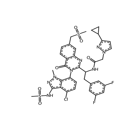 Cn1nc(NS(C)(=O)=O)c2c(Cl)ccc(-n3c(C(Cc4cc(F)cc(F)c4)NC(=O)Cn4ccc(C5CC5)n4)nc4cc(CS(C)(=O)=O)ccc4c3=O)c21